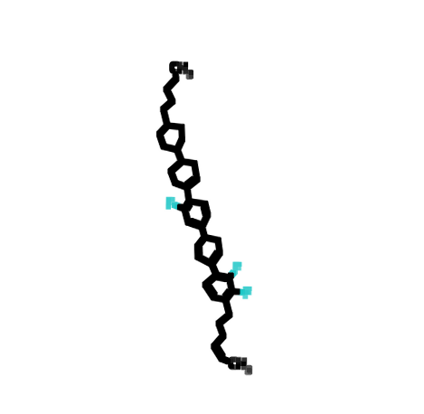 C/C=C\CCCc1ccc(C2=CCC(c3ccc(C4=CCC(C5CCC(CCCCC)CC5)CC4)c(F)c3)C=C2)c(F)c1F